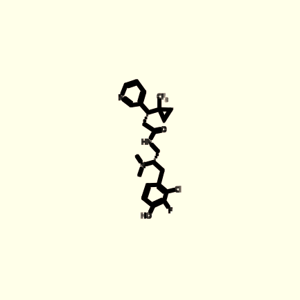 CN(C)[C@H](CNC(=O)C[C@H](c1cccnc1)C1(C(F)(F)F)CC1)Cc1ccc(O)c(F)c1Cl